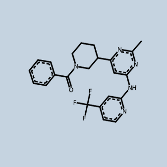 Cc1nc(Nc2cc(C(F)(F)F)ccn2)cc(C2CCCN(C(=O)c3ccccc3)C2)n1